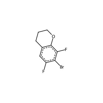 Fc1cc2c(c(F)c1Br)OCCC2